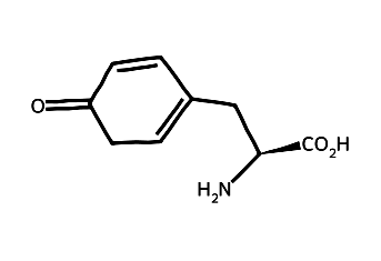 N[C@@H](CC1=CCC(=O)C=C1)C(=O)O